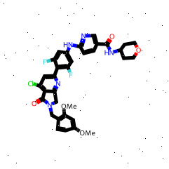 COc1ccc(CN2Cc3nc(-c4c(F)cc(Nc5ccc(C(=O)NC6CCOCC6)cn5)cc4F)cc(Cl)c3C2=O)c(OC)c1